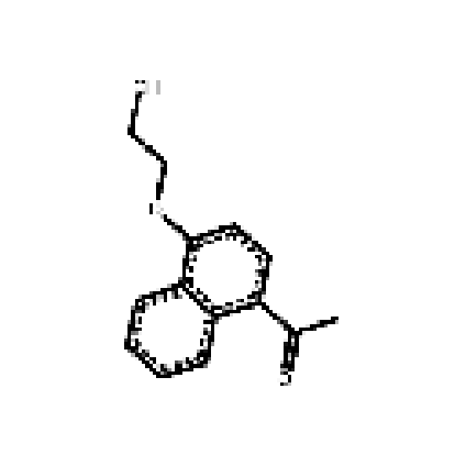 CC(=O)c1ccc(OCCO)c2ccccc12